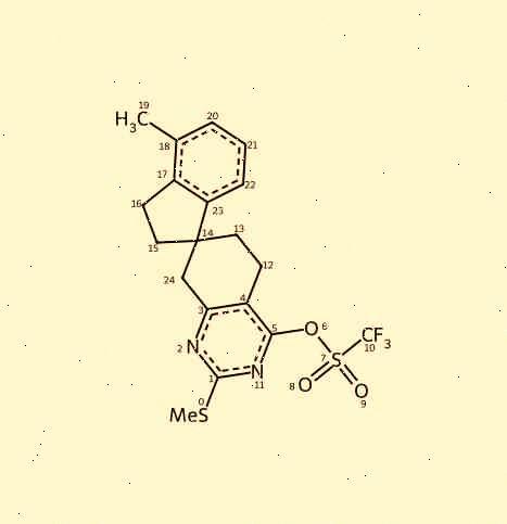 CSc1nc2c(c(OS(=O)(=O)C(F)(F)F)n1)CCC1(CCc3c(C)cccc31)C2